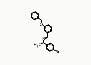 CC(/N=C/c1cccc(OCc2ccccc2)c1)c1ccc(Br)cc1